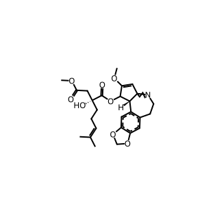 COC(=O)C[C@](O)(CCC=C(C)C)C(=O)OC1C(OC)=CC23CCCN2CCc2cc4c(cc2[C@H]13)OCO4